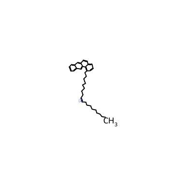 CCCCCCCCCC/C=C\CCCCCCCCc1cccc2ccc3cc4ccccc4cc3c12